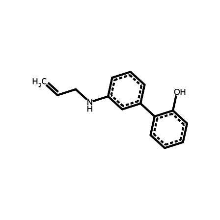 C=CCNc1cccc(-c2ccccc2O)c1